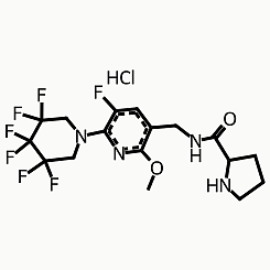 COc1nc(N2CC(F)(F)C(F)(F)C(F)(F)C2)c(F)cc1CNC(=O)C1CCCN1.Cl